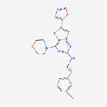 Cc1cccc(/C=N/Nc2nc(N3CCOCC3)c3sc(-c4cnco4)cc3n2)c1